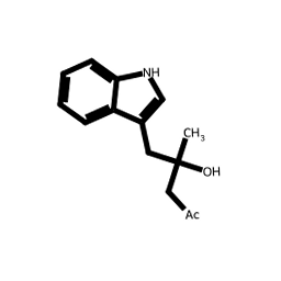 CC(=O)CC(C)(O)Cc1c[nH]c2ccccc12